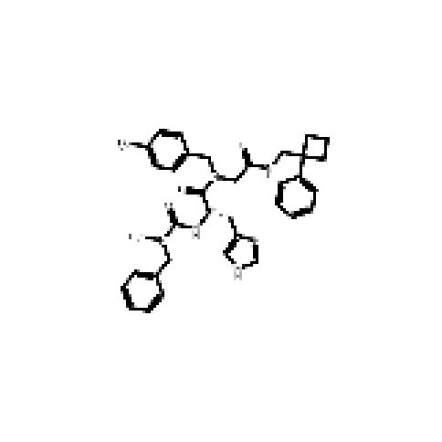 Cc1ccc(CN(CC(=O)NCC2(c3ccccc3)CCC2)C(=O)[C@H](Cc2c[nH]cn2)NC(=O)N(C)Cc2ccccc2)cc1